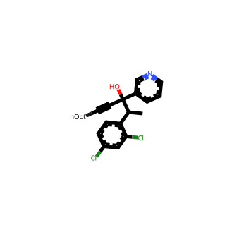 CCCCCCCCC#CC(O)(c1cccnc1)C(C)c1ccc(Cl)cc1Cl